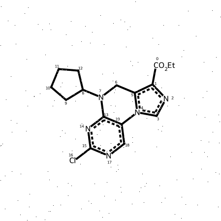 CCOC(=O)c1ncn2c1CN(C1CCCC1)c1nc(Cl)ncc1-2